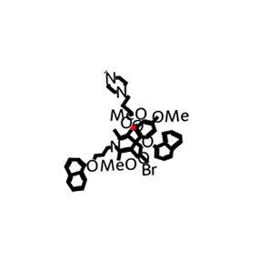 COC(=O)C1=C(C)N(CCCOc2cccc3ccccc23)C(C)=C(C(=O)OCCCN2CCN(C)CC2)C1(c1ccc(OC)c(OC)c1)C(CCBr)Oc1cccc2ccccc12